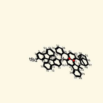 CC(C)(C)c1ccc2c(c1)C1(c3ccccc3-c3ccc(N(c4ccc5c(c4)-c4ccccc4C5(C)C)c4ccccc4-c4ccc(C56CC7CC(CC(C7)C5)C6)cc4)cc31)c1ccccc1-2